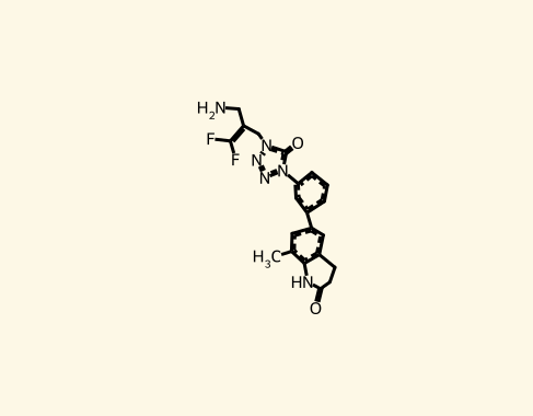 Cc1cc(-c2cccc(-n3nnn(CC(CN)=C(F)F)c3=O)c2)cc2c1NC(=O)CC2